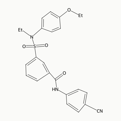 CCOc1ccc(N(CC)S(=O)(=O)c2cccc(C(=O)Nc3ccc(C#N)cc3)c2)cc1